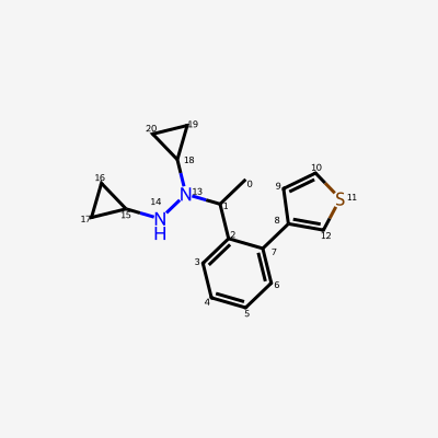 CC(c1ccccc1-c1ccsc1)N(NC1CC1)C1CC1